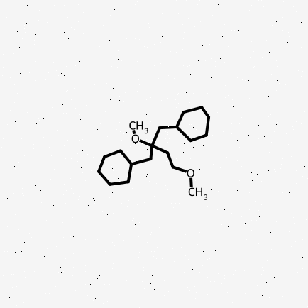 COCCC(CC1CCCCC1)(CC1CCCCC1)OC